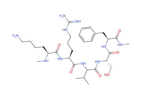 CNC(=O)[C@H](Cc1ccccc1)NC(=O)[C@H](CO)NC(=O)C(NC(=O)[C@H](CCCNC(=N)N)NC(=O)[C@H](CCCCN)NC)C(C)C